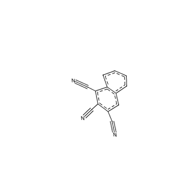 N#Cc1cc2ccccc2c(C#N)c1C#N